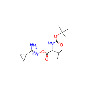 CC(C)C(NC(=O)OC(C)(C)C)C(=O)O/N=C(\N)C1CC1